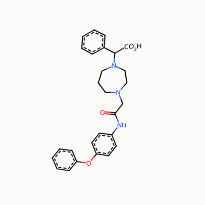 O=C(CN1CCCN(C(C(=O)O)c2ccccc2)CC1)Nc1ccc(Oc2ccccc2)cc1